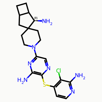 Nc1nc(N2CCC3(CC2)CC2CCC2[C@H]3N)cnc1Sc1ccnc(N)c1Cl